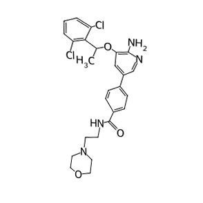 CC(Oc1cc(-c2ccc(C(=O)NCCN3CCOCC3)cc2)cnc1N)c1c(Cl)cccc1Cl